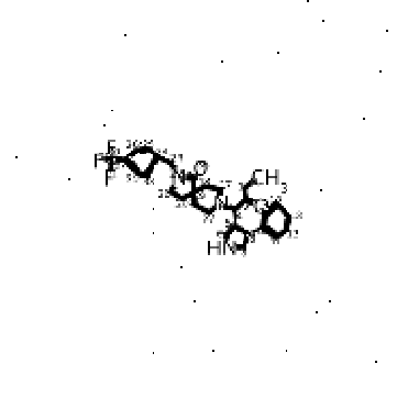 CCC(=O)C([C@@H]1CNC[C@@H]1c1ccccc1)N1CCC2(CCN(Cc3ccc(C(F)(F)F)cc3)C2=O)CC1